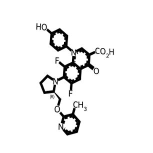 Cc1cccnc1OC[C@H]1CCCN1c1c(F)cc2c(=O)c(C(=O)O)cn(-c3ccc(O)cc3)c2c1F